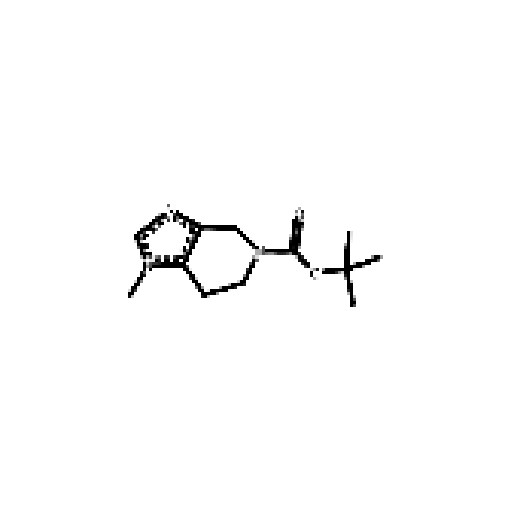 Cn1cnc2c1CCN(C(=O)OC(C)(C)C)C2